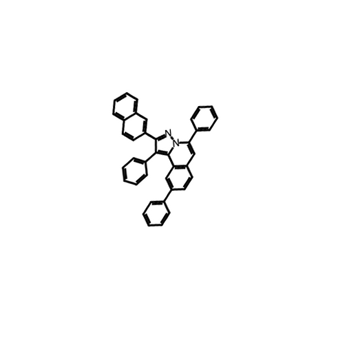 c1ccc(-c2ccc3cc(-c4ccccc4)n4nc(-c5ccc6ccccc6c5)c(-c5ccccc5)c4c3c2)cc1